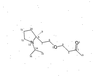 CC(=O)CCOCC[C@]1(C)CCCN1C(C)C